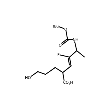 CC(NC(=O)OC(C)(C)C)C(F)=CC(CCCO)C(=O)O